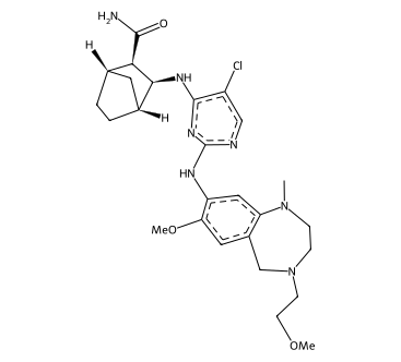 COCCN1CCN(C)c2cc(Nc3ncc(Cl)c(N[C@H]4[C@@H]5CC[C@@H](C5)[C@H]4C(N)=O)n3)c(OC)cc2C1